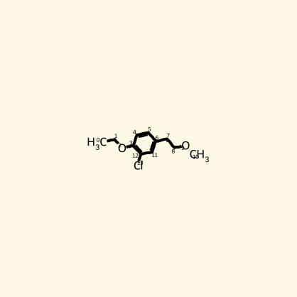 CCOc1ccc([CH]COC)cc1Cl